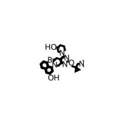 CN(C)CC1(COc2nc3c(c(N4CCC[C@@H](O)C4)n2)CCN(c2cc(O)cc4cccc(Br)c24)C3)CC1